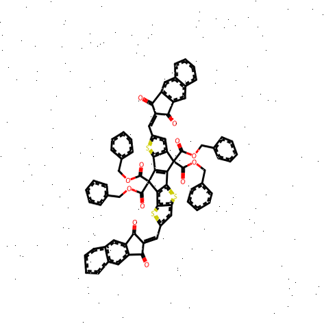 O=C1C(=Cc2cc3c(s2)C2=C(c4sc5cc(C=C6C(=O)c7cc8ccccc8cc7C6=O)sc5c4C2(C(=O)OCc2ccccc2)C(=O)OCc2ccccc2)C3(C(=O)OCc2ccccc2)C(=O)OCc2ccccc2)C(=O)c2cc3ccccc3cc21